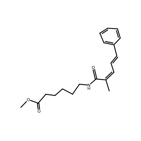 COC(=O)CCCCCNC(=O)C(C)=CC=Cc1ccccc1